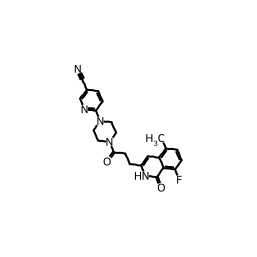 Cc1ccc(F)c2c(=O)[nH]c(CCC(=O)N3CCN(c4ccc(C#N)cn4)CC3)cc12